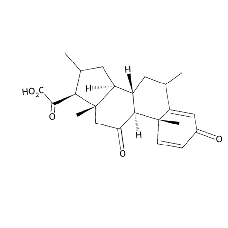 CC1C[C@H]2[C@@H]3CC(C)[C@H](C(=O)C(=O)O)[C@@]3(C)CC(=O)[C@@H]2[C@@]2(C)C=CC(=O)C=C12